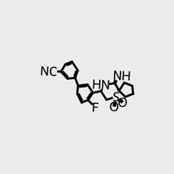 N#Cc1cccc(-c2ccc(F)c(C3CS(=O)(=O)C4(CCCC4)C(=N)N3)c2)c1